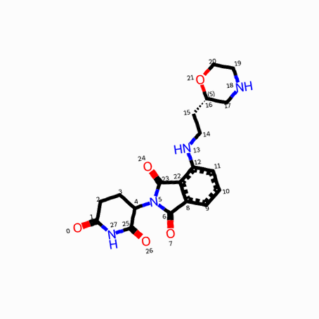 O=C1CCC(N2C(=O)c3cccc(NCC[C@H]4CNCCO4)c3C2=O)C(=O)N1